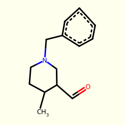 CC1CCN(Cc2ccccc2)CC1C=O